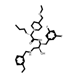 CCCC[C@@H](C(=O)N[C@@H](Cc1cc(F)cc(F)c1)[C@@H](O)CNCc1cccc(CC)c1)N1CCC(COCC)CC1